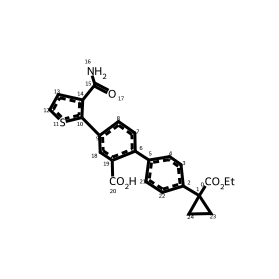 CCOC(=O)C1(c2ccc(-c3ccc(-c4sccc4C(N)=O)cc3C(=O)O)cc2)CC1